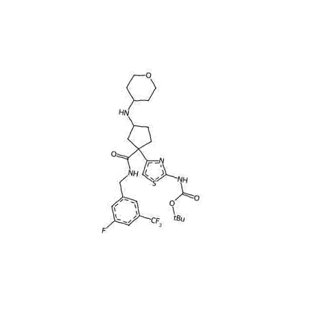 CC(C)(C)OC(=O)Nc1nc(C2(C(=O)NCc3cc(F)cc(C(F)(F)F)c3)CCC(NC3CCOCC3)C2)cs1